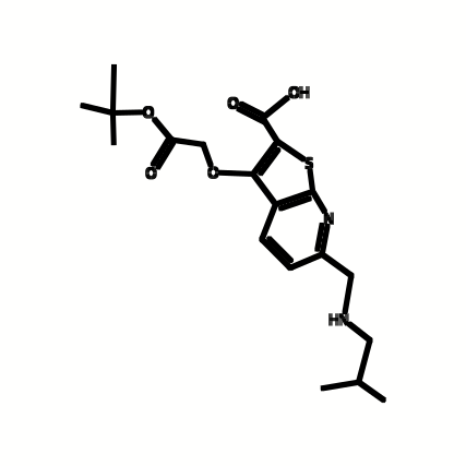 CC(C)CNCc1ccc2c(OCC(=O)OC(C)(C)C)c(C(=O)O)sc2n1